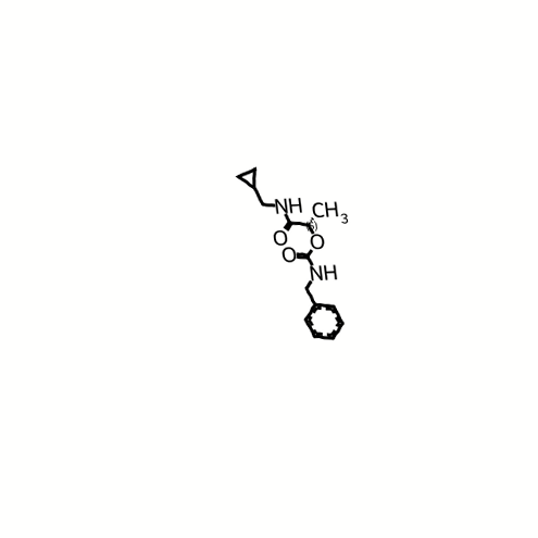 C[C@H](OC(=O)NCc1ccccc1)C(=O)NCC1CC1